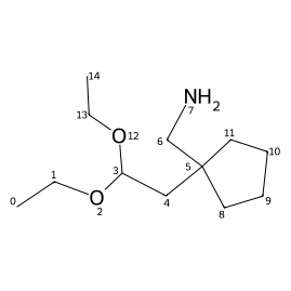 CCOC(CC1(CN)CCCC1)OCC